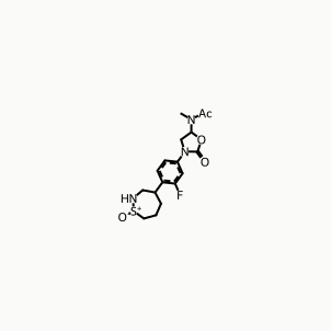 CC(=O)N(C)C1CN(c2ccc(C3CCC[S+]([O-])NC3)c(F)c2)C(=O)O1